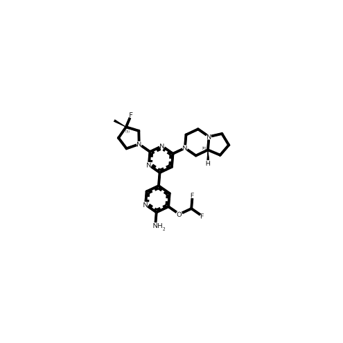 C[C@]1(F)CCN(c2nc(-c3cnc(N)c(OC(F)F)c3)cc(N3CCN4CCC[C@@H]4C3)n2)C1